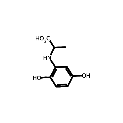 CC(Nc1cc(O)ccc1O)C(=O)O